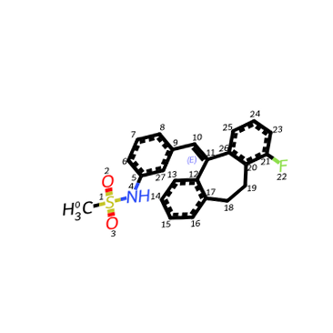 CS(=O)(=O)Nc1cccc(/C=C2\c3ccccc3CCc3c(F)cccc32)c1